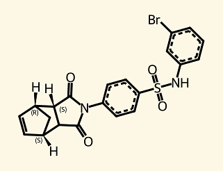 O=C1C2[C@@H]3C=C[C@@H](C3)[C@@H]2C(=O)N1c1ccc(S(=O)(=O)Nc2cccc(Br)c2)cc1